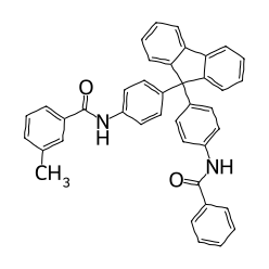 Cc1cccc(C(=O)Nc2ccc(C3(c4ccc(NC(=O)c5ccccc5)cc4)c4ccccc4-c4ccccc43)cc2)c1